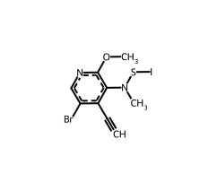 C#Cc1c(Br)cnc(OC)c1N(C)SI